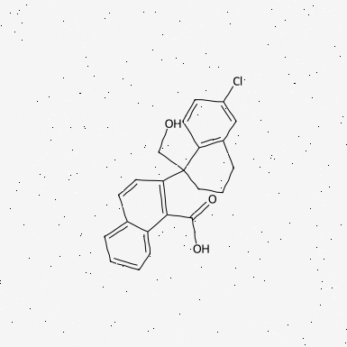 O=C(O)c1c(C2(CO)CCCc3cc(Cl)ccc32)ccc2ccccc12